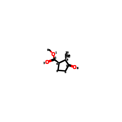 COC(=O)[C@@H]1CCC(=O)[C@H]1[Re]